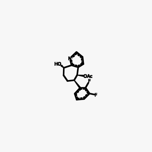 CC(=O)O[C@@H]1c2cccnc2[C@H](O)CC[C@@H]1c1cccc(F)c1F